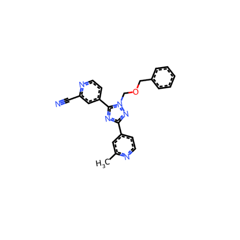 Cc1cc(-c2nc(-c3ccnc(C#N)c3)n(COCc3ccccc3)n2)ccn1